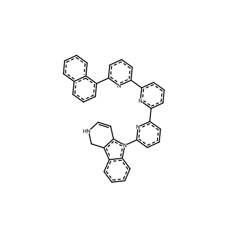 C1=Cc2c(c3ccccc3n2-c2cccc(-c3cccc(-c4cccc(-c5cccc6ccccc56)n4)n3)n2)CN1